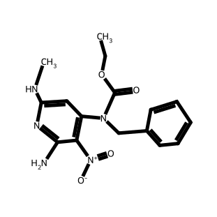 CCOC(=O)N(Cc1ccccc1)c1cc(NC)nc(N)c1[N+](=O)[O-]